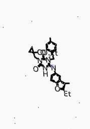 CCOC(=O)C1(Cn2c(=O)[nH]/c(=N\c3ccc4oc(CC)c(C)c4c3)n(Cc3ccc(C)cc3)c2=O)CC1